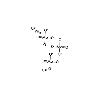 P.[Bi+3].[Bi+3].[O]=[Mo](=[O])([O-])[O-].[O]=[Mo](=[O])([O-])[O-].[O]=[Mo](=[O])([O-])[O-]